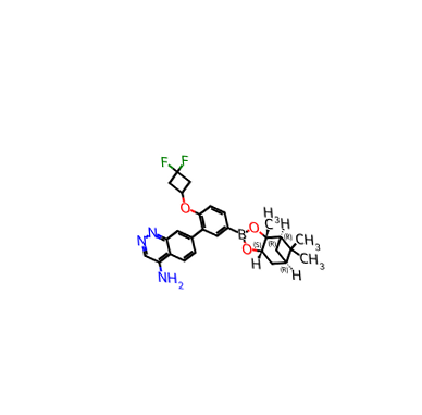 CC1(C)[C@H]2C[C@@H]3OB(c4ccc(OC5CC(F)(F)C5)c(-c5ccc6c(N)cnnc6c5)c4)O[C@]3(C)[C@@H]1C2